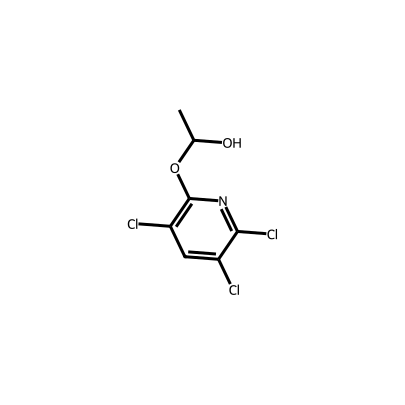 CC(O)Oc1nc(Cl)c(Cl)cc1Cl